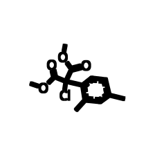 COC(=O)C(Cl)(C(=O)OC)c1ccc(C)cc1C